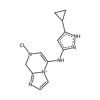 ClN1C=C(Nc2cc(C3CC3)[nH]n2)[N+]2C=CN=C2C1